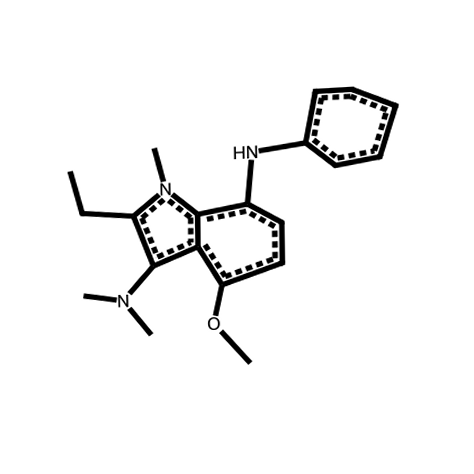 CCc1c(N(C)C)c2c(OC)ccc(Nc3ccccc3)c2n1C